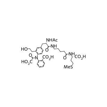 CSCC[C@H](NC(=O)CCCCNC(=O)[C@H](Cc1ccc(N(C(=O)C(=O)O)c2ccccc2C(=O)O)c(CCO)c1)NC(C)=O)C(=O)O